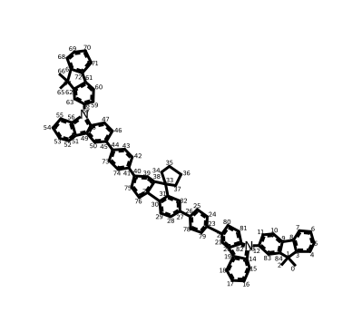 CC1(C)c2ccccc2-c2ccc(-n3c4ccccc4c4cc(-c5ccc(-c6ccc7c(c6)C6(CCCC6)c6cc(-c8ccc(-c9ccc%10c(c9)c9ccccc9n%10-c9ccc%10c(c9)C(C)(C)c9ccccc9-%10)cc8)ccc6-7)cc5)ccc43)cc21